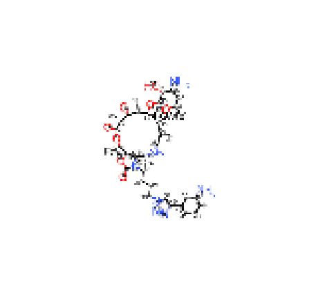 CC[C@H]1OC(=O)[C@H](C)C(=O)[C@H](C)[C@@H](O[C@@H]2OC(C)CC(N)C2O)[C@](C)(OC)C[C@@H](C)CN[C@H](C)[C@H]2N(CCCCn3cc(-c4cccc(N)c4)nn3)C(=O)O[C@]12C